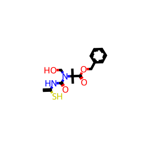 C=C(S)NC(=O)N(CO)C(C)(C)C(=O)OCc1ccccc1